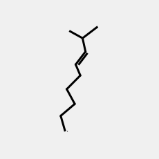 [CH2]CCCCC=CC(C)C